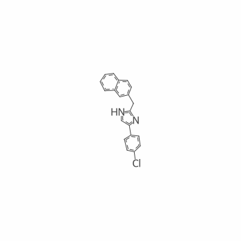 Clc1ccc(-c2c[nH]c(Cc3ccc4ccccc4c3)n2)cc1